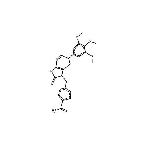 COc1cc(C2C=NC3=C(C2)C(Cc2ccc(C(N)=O)cc2)C(=O)N3)cc(OC)c1OC